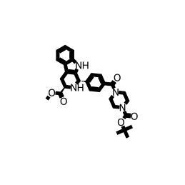 COC(=O)[C@H]1Cc2c([nH]c3ccccc23)[C@H](c2ccc(C(=O)N3CCN(C(=O)OC(C)(C)C)CC3)cc2)N1